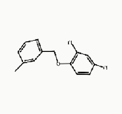 Cc1cccc(COc2ccc(Cl)cc2Cl)c1